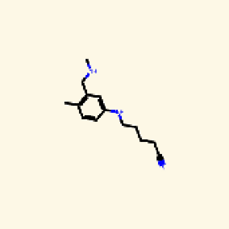 CNCc1cc(NCCCCC#N)ccc1C